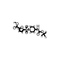 COC(=O)c1ccc(S(=O)(=O)N2CCC(NC(=O)OC(C)(C)C)CC2)o1